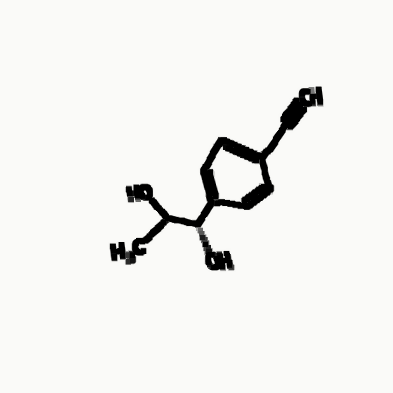 C#Cc1ccc([C@H](O)C(C)O)cc1